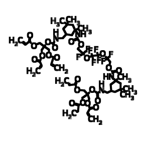 C=CC(=O)OCC(COC(=O)C=C)(COC(=O)C=C)OC(=O)NCC1CC(C)(C)CC(C)(NC(=O)OCC(F)(F)OC(F)(F)C(F)(F)OC(F)(F)COC(=O)NC2(C)CC(CNC(=O)OC(COC(=O)C=C)(COC(=O)C=C)COC(=O)C=C)CC(C)(C)C2)C1